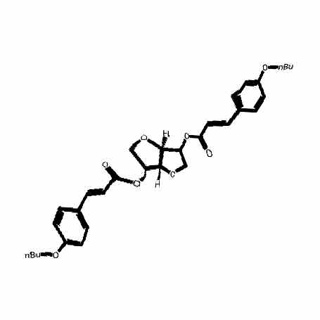 CCCCOc1ccc(/C=C/C(=O)OC2CO[C@@H]3[C@@H](OC(=O)/C=C/c4ccc(OCCCC)cc4)CO[C@H]23)cc1